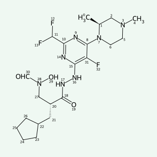 C[C@H]1CN(C)CCN1c1nc(C(F)F)nc(NNC(=O)[C@H](CC2CCCC2)CN(O)C=O)c1F